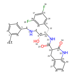 CCc1cccc(CNC[C@@H](O)[C@H](Cc2cc(F)cc(F)c2)NC(=O)C2Cc3ccccc3NC2=O)c1